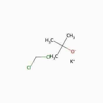 CC(C)(C)[O-].ClCCl.[K+]